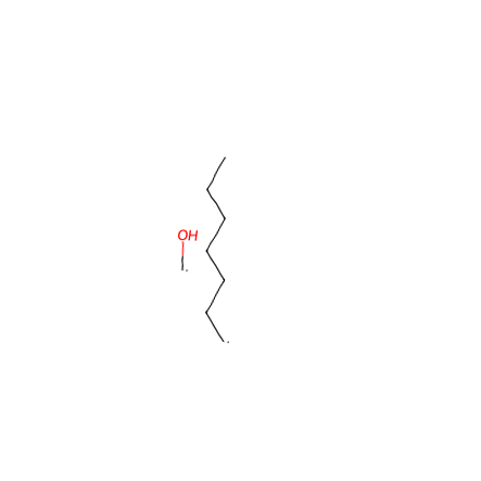 [CH2]CCCCCC.[CH2]O